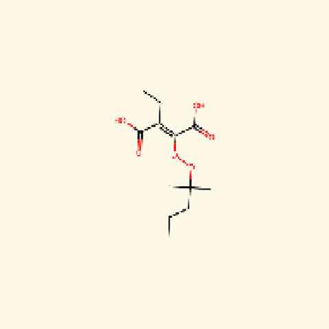 CCCC(C)(C)OOC(C(=O)O)=C(CC)C(=O)O